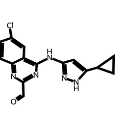 O=Cc1nc(Nc2cc(C3CC3)[nH]n2)c2cc(Cl)ccc2n1